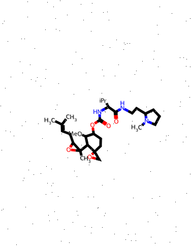 COC1C(OC(=O)NC(C(=O)NCCC2CCCN2C)C(C)C)CCC2(CO2)C1C1(C)OC1CC=C(C)C